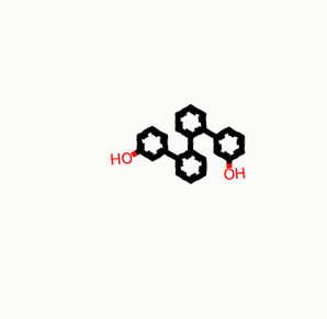 Oc1cccc(-c2ccccc2-c2ccccc2-c2cccc(O)c2)c1